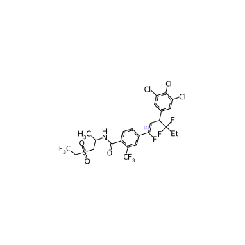 CCC(F)(F)C(/C=C(\F)c1ccc(C(=O)NC(C)CS(=O)(=O)CC(F)(F)F)c(C(F)(F)F)c1)c1cc(Cl)c(Cl)c(Cl)c1